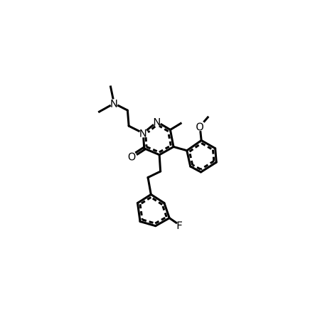 COc1ccccc1-c1c(C)nn(CCN(C)C)c(=O)c1CCc1cccc(F)c1